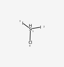 Cl[SiH](I)I